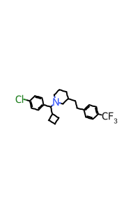 FC(F)(F)c1ccc(CCC2CCCN(C(c3ccc(Cl)cc3)C3CCC3)C2)cc1